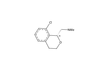 CNC[C@@H]1OCCc2cccc(Cl)c21